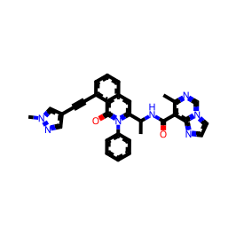 Cc1ncn2ccnc2c1C(=O)NC(C)c1cc2cccc(C#Cc3cnn(C)c3)c2c(=O)n1-c1ccccc1